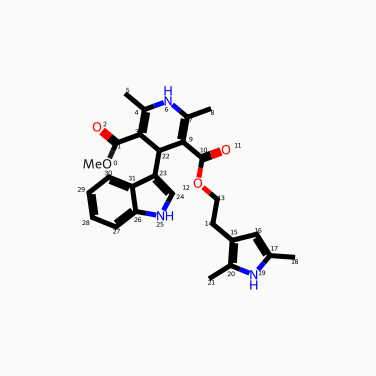 COC(=O)C1=C(C)NC(C)=C(C(=O)OCCc2cc(C)[nH]c2C)C1c1c[nH]c2ccccc12